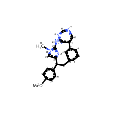 COc1ccc(C(Cc2cccc(-c3cncnc3)c2)c2cn(C)c(N)n2)cc1